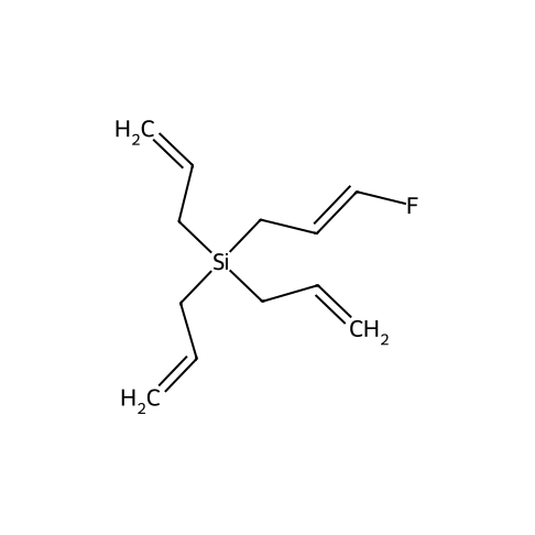 C=CC[Si](CC=C)(CC=C)CC=CF